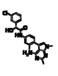 Cc1nc(N)c2c(-c3ccc(NC(=O)C(O)c4cccc(Cl)c4)cc3C)cn(C)c2n1